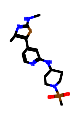 CNc1nc(C)c(-c2ccnc(NC3CCN(S(C)(=O)=O)CC3)c2)s1